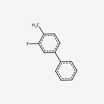 Cc1ccc(-c2c[c]ccc2)cc1F